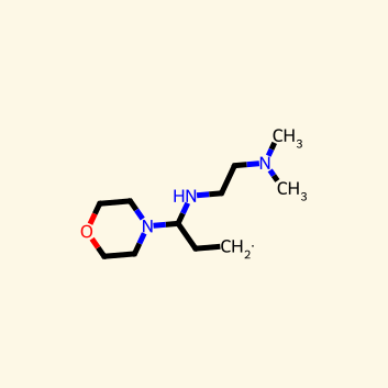 [CH2]CC(NCCN(C)C)N1CCOCC1